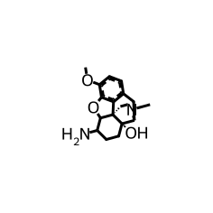 COc1ccc2c3c1OC1C(N)CC[C@]4(O)C(C2)N(C)CC[C@@]314